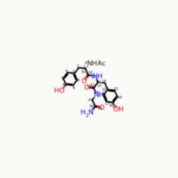 CC(=O)N[C@@H](Cc1ccc(O)cc1)C(=O)N[C@@H](Cc1ccc(O)cc1)C(=O)NCC(N)=O